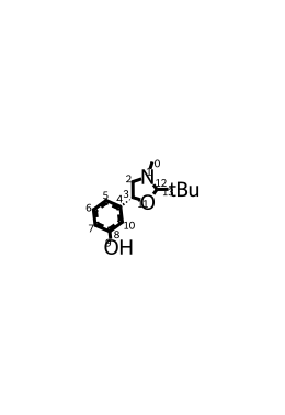 CN1C[C@@H](c2cccc(O)c2)OC1C(C)(C)C